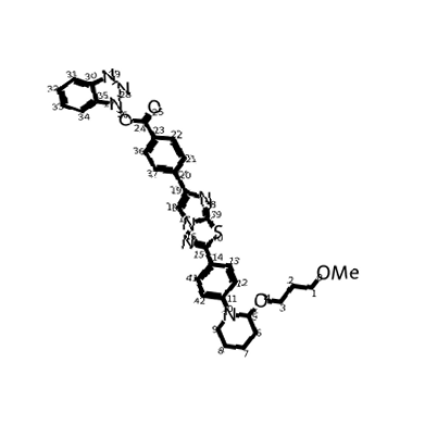 COCCCOC1CCCCN1c1ccc(-c2nn3cc(-c4ccc(C(=O)On5nnc6ccccc65)cc4)nc3s2)cc1